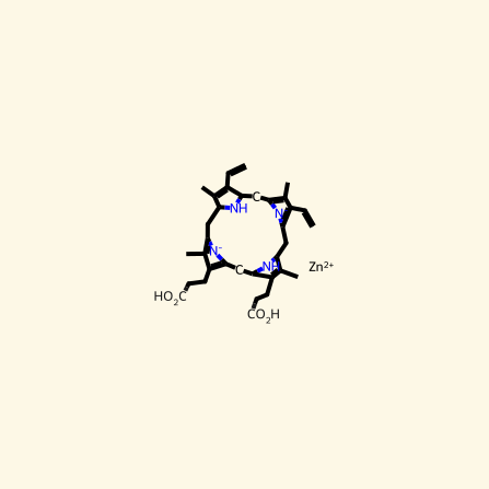 C=CC1=C(C)C2Cc3[n-]c(c(CCC(=O)O)c3C)CC3NC(Cc4[n-]c(c(C)c4C=C)CC1N2)C(C)=C3CCC(=O)O.[Zn+2]